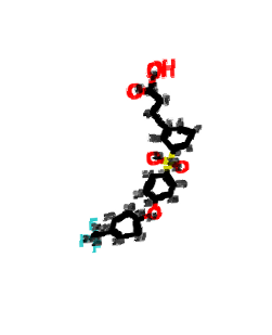 O=C(O)CCc1cccc(S(=O)(=O)c2ccc(Oc3ccc(C(F)(F)F)cc3)cc2)c1